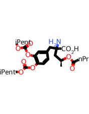 CCCC(=O)O[C@@H](C)CC(N)(Cc1ccc(OC(=O)OC(C)CCC)c(OC(=O)OC(C)CCC)c1)C(=O)O